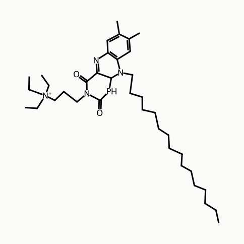 CCCCCCCCCCCCCCCCN1c2cc(C)c(C)cc2N=C2C(=O)N(CCC[N+](CC)(CC)CC)C(=O)PC21